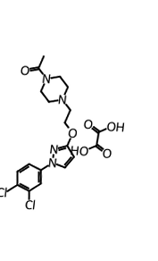 CC(=O)N1CCN(CCOc2ccn(-c3ccc(Cl)c(Cl)c3)n2)CC1.O=C(O)C(=O)O